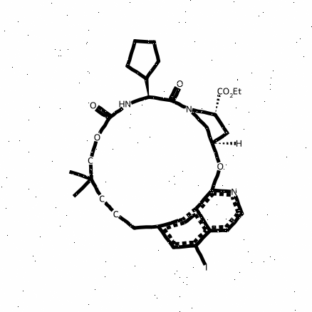 CCOC(=O)[C@@H]1C[C@@H]2CN1C(=O)[C@H](C1CCCC1)NC(=O)OCC(C)(C)CCCc1cc(I)c3ccnc(c3c1)O2